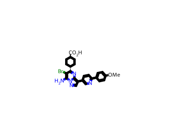 COc1ccc(-c2ccc(-c3cnn4c(N)c(Br)c([C@H]5CC[C@H](C(=O)O)CC5)nc34)cn2)cc1